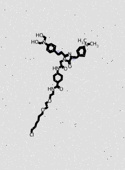 CN(C)c1ccc(/C=C2N=C(/C=C/c3ccc(N(CO)CO)cc3)N(CC(=O)NC3CCC(C(=O)NCCOCCOCCCCCCCl)CC3)C\2=O)cc1